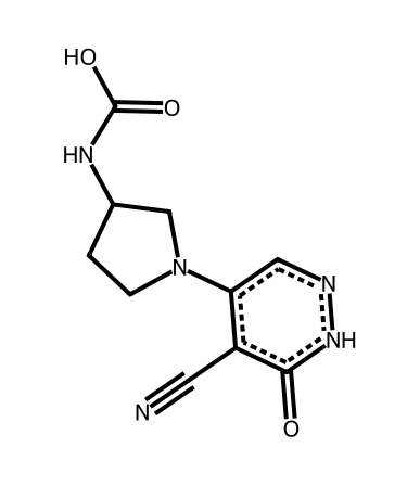 N#Cc1c(N2CCC(NC(=O)O)C2)cn[nH]c1=O